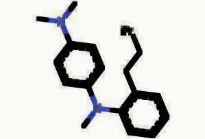 CC(C)CCc1ccccc1N(C)c1ccc(N(C)C)cc1